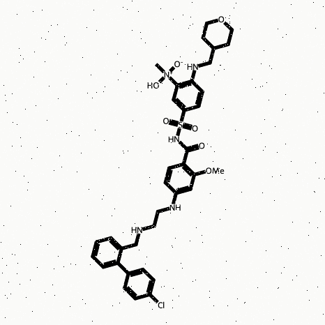 COc1cc(NCCNCc2ccccc2-c2ccc(Cl)cc2)ccc1C(=O)NS(=O)(=O)c1ccc(NCC2CCOCC2)c([N+](C)([O-])O)c1